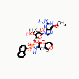 COc1nc(N)nc2c1ncn2C1O[C@H](COP(=O)(NC(C)C(=O)OC2CCOCC2)Oc2cccc3ccccc23)[C@@H](O)[C@@]1(C)O